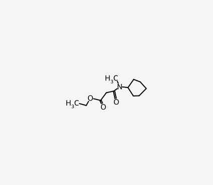 CCOC(=O)CC(=O)N(C)C1CCCCC1